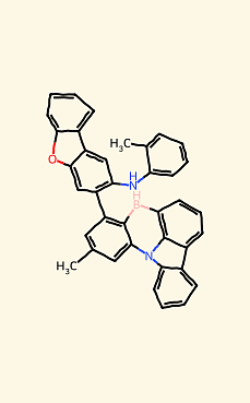 Cc1cc(-c2cc3oc4ccccc4c3cc2Nc2ccccc2C)c2c(c1)-n1c3ccccc3c3cccc(c31)B2